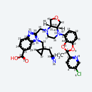 C[C@@]1(c2ccc(Cl)cn2)Oc2cccc(N3CCN(Cc4nc5ccc(C(=O)O)cc5n4CC4(CC#N)CC4)[C@@H]4COC[C@@H]43)c2O1